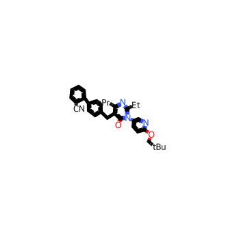 CCCc1nc(CC)n(-c2ccc(OCC(C)(C)C)nc2)c(=O)c1Cc1ccc(-c2ccccc2C#N)cc1